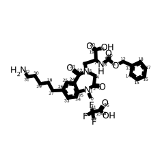 CN1C(=O)CN(CC(NC(=O)OCc2ccccc2)C(=O)O)C(=O)c2cc(CCCCCN)ccc21.O=C(O)C(F)(F)F